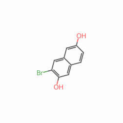 Oc1ccc2cc(O)c(Br)cc2c1